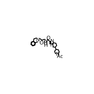 CC(=O)N1CCC(C2CCc3nc(C(=O)NCC(O)CN4CCc5ccccc5C4)cn3C2)CC1